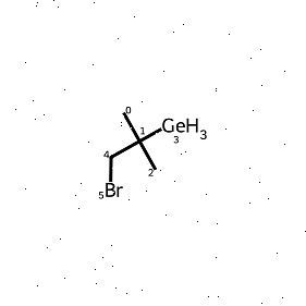 C[C](C)([GeH3])CBr